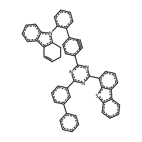 c1c(-c2nc(-c3cccc(-c4ccccc4)c3)nc(-c3cccc4c3sc3ccccc34)n2)ccc(-c2ccccc2-n2c3c(c4ccccc42)C=CCC3)c#1